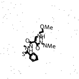 CNNC(=O)C(=CNCCOC)C(=O)NN(C)C(=S)c1ccccc1